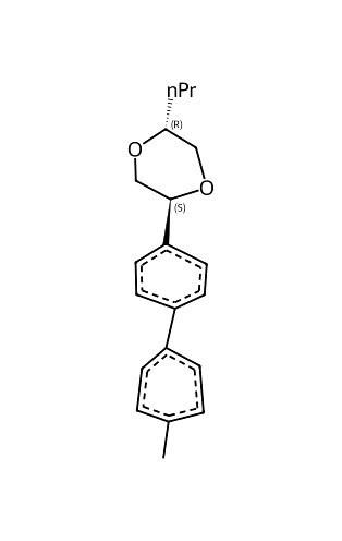 CCC[C@@H]1CO[C@@H](c2ccc(-c3ccc(C)cc3)cc2)CO1